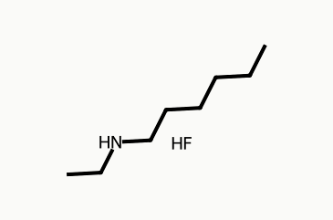 CCCCCCNCC.F